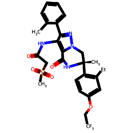 CCc1cc(OCC(F)(F)F)ccc1[C@@]1(C)Cn2nc(-c3ccccc3C)c(NC(=O)CS(C)(=O)=O)c2C(=O)N1